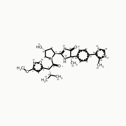 COc1cc([C@H](C(=O)N2C[C@H](O)C[C@H]2C2=NC(=O)[C@@](C)(c3ccc(-c4scnc4C)cc3)N2)C(C)C)on1